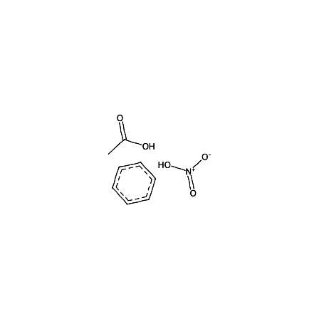 CC(=O)O.O=[N+]([O-])O.c1ccccc1